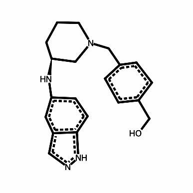 OCc1ccc(CN2CCC[C@H](Nc3ccc4[nH]ncc4c3)C2)cc1